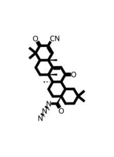 CC1(C)CC[C@]2(C(=O)N=[N+]=[N-])CC[C@]3(C)C(C(=O)C=C4[C@@]5(C)C=C(C#N)C(=O)C(C)(C)C5CC[C@]43C)C2C1